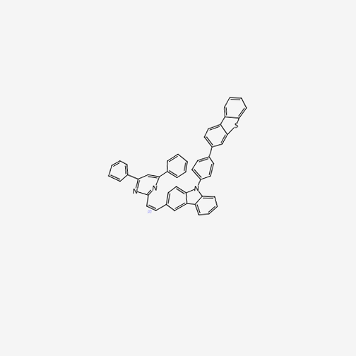 C(=C/c1nc(-c2ccccc2)cc(-c2ccccc2)n1)/c1ccc2c(c1)c1ccccc1n2-c1ccc(-c2ccc3c(c2)sc2ccccc23)cc1